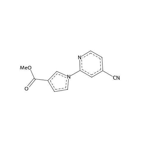 COC(=O)c1ccn(-c2cc(C#N)ccn2)c1